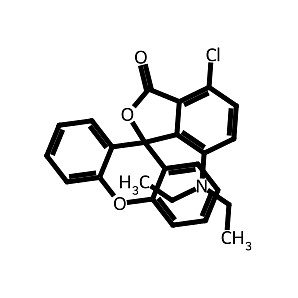 CCN(CC)c1ccc(Cl)c2c1C1(OC2=O)c2ccccc2Oc2ccccc21